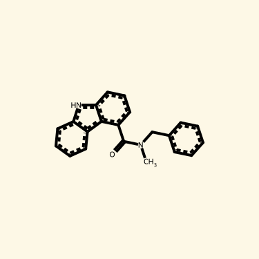 CN(Cc1ccccc1)C(=O)c1cccc2[nH]c3ccccc3c12